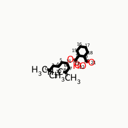 CC(C)CCCC(CC(C)C)OC(=O)C1CCCCC1C(=O)O